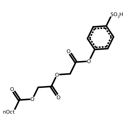 CCCCCCCCC(=O)OCC(=O)OCC(=O)Oc1ccc(S(=O)(=O)O)cc1